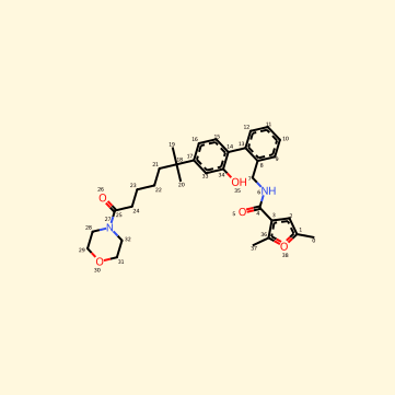 Cc1cc(C(=O)NCc2ccccc2-c2ccc(C(C)(C)CCCCC(=O)N3CCOCC3)cc2O)c(C)o1